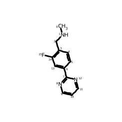 CNCc1ccc(-c2ncccn2)cc1F